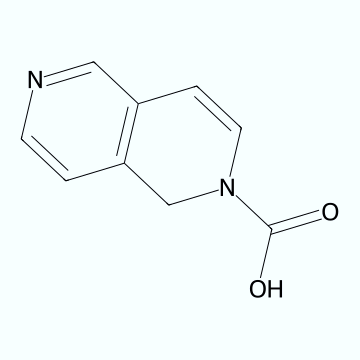 O=C(O)N1C=Cc2cnccc2C1